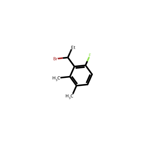 CCC(Br)c1c(F)ccc(C)c1C